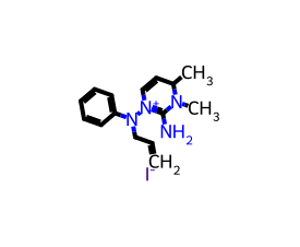 C=CCN(c1ccccc1)[N+]1=C(N)N(C)C(C)C=C1.[I-]